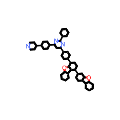 c1ccc(-c2nc(-c3ccc(-c4ccncc4)cc3)cc(-c3ccc(-c4ccc(-c5ccc6c(c5)oc5ccccc56)c5c4oc4ccccc45)cc3)n2)cc1